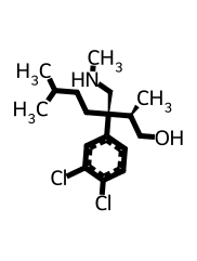 CNC[C@](CCC(C)C)(c1ccc(Cl)c(Cl)c1)[C@@H](C)CO